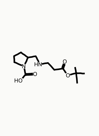 CC(C)(C)OC(=O)CCNCC1CCCN1C(=O)O